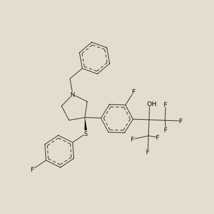 OC(c1ccc([C@]2(Sc3ccc(F)cc3)CCN(Cc3ccccc3)C2)cc1F)(C(F)(F)F)C(F)(F)F